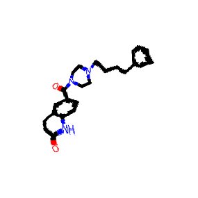 O=C1CCc2cc(C(=O)N3CCN(CCCCc4ccccc4)CC3)ccc2N1